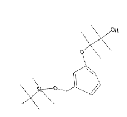 CC(C)(O)C(C)(C)Oc1cccc(CO[Si](C)(C)C(C)(C)C)c1